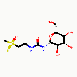 CS(=O)(=S)CCNC(=O)N[C@@H]1O[C@H](CO)[C@@H](O)[C@H](O)[C@H]1O